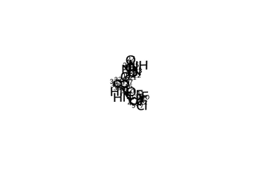 O=C(Nc1ccc(Cl)c(C(F)(F)F)c1)Nc1ccc(Oc2ccnc3[nH]c(=O)cnc23)c2ccccc12